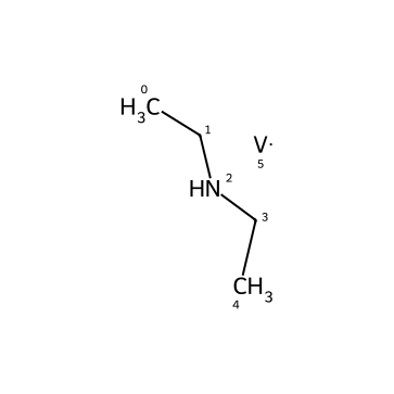 CCNCC.[V]